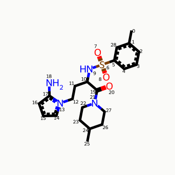 Cc1cccc(S(=O)(=O)NC(CCn2cccc2N)C(=O)N2CCC(C)CC2)c1